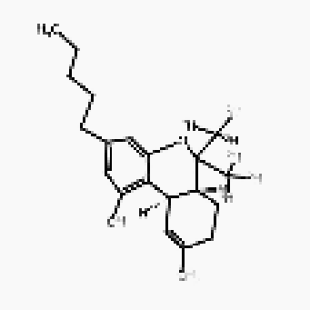 [2H]C([2H])([2H])C1(C([2H])([2H])[2H])Oc2cc(CCCCC)cc(O)c2[C@@H]2C=C(C)CC[C@H]21